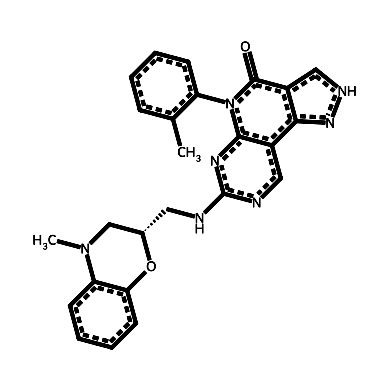 Cc1ccccc1-n1c(=O)c2c[nH]nc2c2cnc(NC[C@H]3CN(C)c4ccccc4O3)nc21